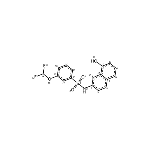 O=S(=O)(Nc1ccc2cccc(O)c2n1)c1cccc(OC(F)F)c1